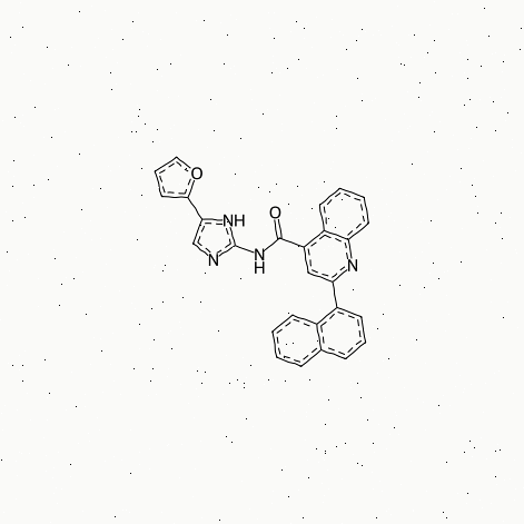 O=C(Nc1ncc(-c2ccco2)[nH]1)c1cc(-c2cccc3ccccc23)nc2ccccc12